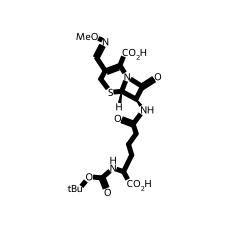 CON=CC1=C(C(=O)O)N2C(=O)[C@@H](NC(=O)CCCC(NC(=O)OC(C)(C)C)C(=O)O)[C@@H]2SC1